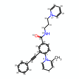 CC1=CCC=CN1c1ccc(C(=O)NCCCN2C=C=CC=C2)cc1C#Cc1ccccc1